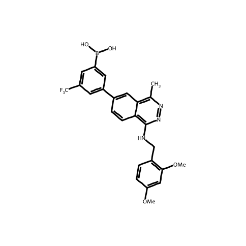 COc1ccc(CNc2nnc(C)c3cc(-c4cc(B(O)O)cc(C(F)(F)F)c4)ccc23)c(OC)c1